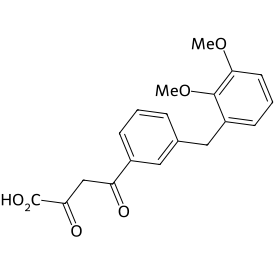 COc1cccc(Cc2cccc(C(=O)CC(=O)C(=O)O)c2)c1OC